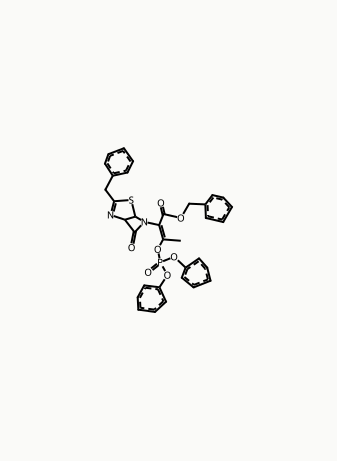 CC(OP(=O)(Oc1ccccc1)Oc1ccccc1)=C(C(=O)OCc1ccccc1)N1C(=O)C2N=C(Cc3ccccc3)SC21